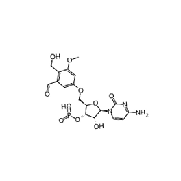 COc1cc(OC[C@H]2O[C@@H](n3ccc(N)nc3=O)[C@H](O)[C@@H]2O[PH](=O)O)cc(C=O)c1CO